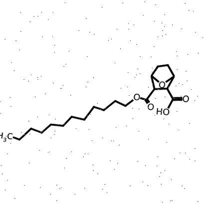 CCCCCCCCCCCCOC(=O)C1C2CCC(O2)C1C(=O)O